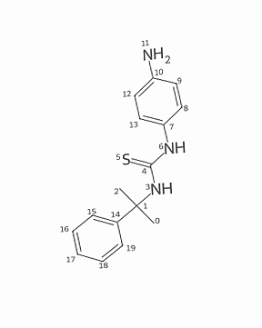 CC(C)(NC(=S)Nc1ccc(N)cc1)c1ccccc1